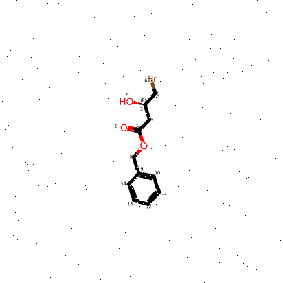 O=C(C[C@@H](O)CBr)OCc1ccccc1